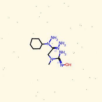 CN(C/C(=N/N)N(N)C1CCCCC1)/C(N)=N/O